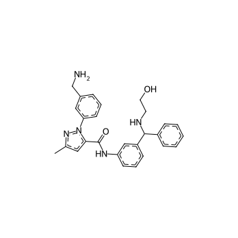 Cc1cc(C(=O)Nc2cccc(C(NCCO)c3ccccc3)c2)n(-c2cccc(CN)c2)n1